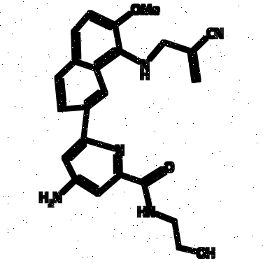 C=C(C#N)CNc1c(OC)ccc2ccc(-c3cc(N)cc(C(=O)NCCO)n3)cc12